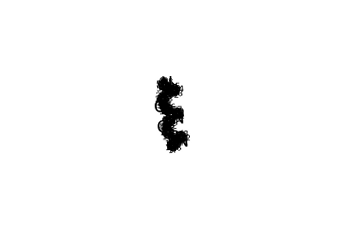 c1cnc(-c2ccc3oc4ccc(-n5c6ccccc6c6ncccc65)cc4c3c2)c(-c2ccc3oc4ccc(-n5c6ccccc6c6ncccc65)cc4c3c2)c1